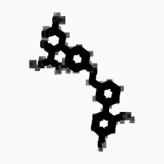 Cc1cc(Cl)ccc1-c1cccc(COc2ccc(C(CC(=O)O)C(=O)N(C)C)cc2)c1